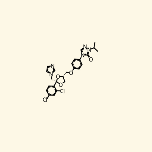 CC(C)n1ncn(-c2ccc(OC[C@@H]3CO[C@@](Cn4ccnc4)(c4ccc(Cl)cc4Cl)O3)cc2)c1=O